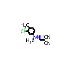 Cc1ccc(N(C)NC=C(C#N)C#N)cc1Cl